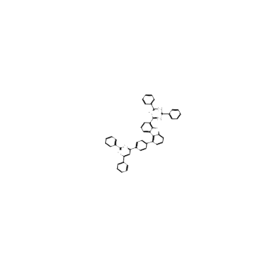 c1ccc(-c2cc(-c3ccc(-c4cccc5sc6c(-c7nc(-c8ccccc8)nc(-c8ccccc8)n7)cccc6c45)cc3)nc(-c3ccccc3)n2)cc1